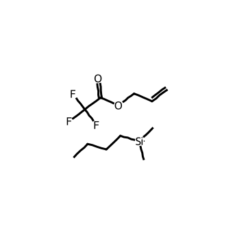 C=CCOC(=O)C(F)(F)F.CCCC[Si](C)C